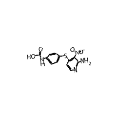 Nc1nccc(Sc2ccc(NC(=O)O)cc2)c1[N+](=O)[O-]